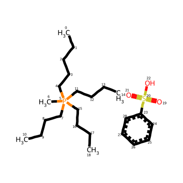 CCCCCP(C)(CCCC)(CCCC)CCCC.O=S(=O)(O)c1ccccc1